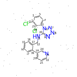 Clc1cccc(-n2nnnc2NCc2ccccc2-c2cccnc2)c1Cl